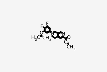 CCOC(=O)c1cc2c(cn1)CN(c1cc(F)c(F)c(OC(C)C)c1)CC2